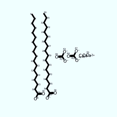 CCCCCCCCCCCCCCCCCC(=O)[O-].CCCCCCCCCCCCCCCCCC(=O)[O-].O=C([O-])[O-].O=C([O-])[O-].[Ca+2].[Ca+2].[Ca+2]